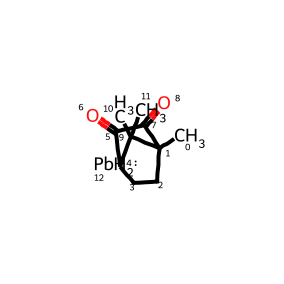 CC12CCC(C(=O)C1=O)C2(C)C.[PbH2]